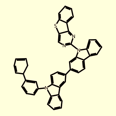 C1=CCC(c2cccc(-n3c4ccccc4c4cc(-c5ccc6c7ccccc7n(-c7ncc8sc9ccccc9c8n7)c6c5)ccc43)c2)C=C1